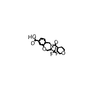 O=C(O)c1ccc2c(c1)OC[C@H](C(F)(F)F)N(C(=O)C1CCOCC1)C2